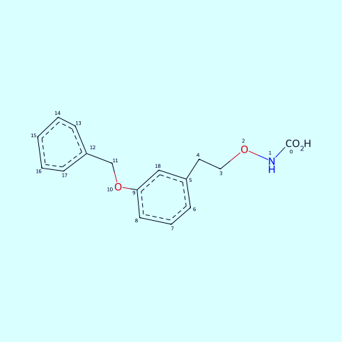 O=C(O)NOCCc1cccc(OCc2ccccc2)c1